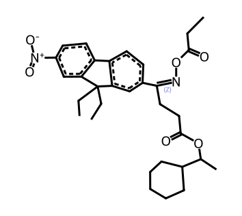 CCC(=O)O/N=C(/CCC(=O)OC(C)C1CCCCC1)c1ccc2c(c1)C(CC)(CC)c1cc([N+](=O)[O-])ccc1-2